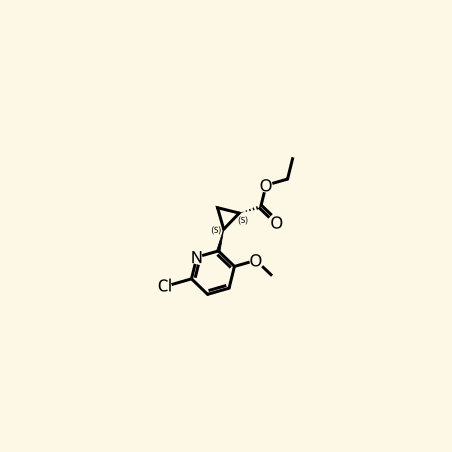 CCOC(=O)[C@H]1C[C@@H]1c1nc(Cl)ccc1OC